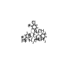 C=C(C(C(=C)N(CCc1ccc(C(F)(F)F)cc1)c1ccc(Cl)c(F)c1)c1ccccc1)N(C)C